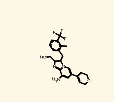 Cc1c(CC2C(CO)N=C3C(N)=CC(C4=CCOCC4)=CN32)cccc1C(F)(F)F